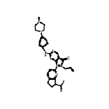 C=CCn1c(=O)c2cnc(Nc3ccc(N4CCN(C)CC4)cc3)nc2n1-c1ccc2c(n1)C(C(F)F)CC2